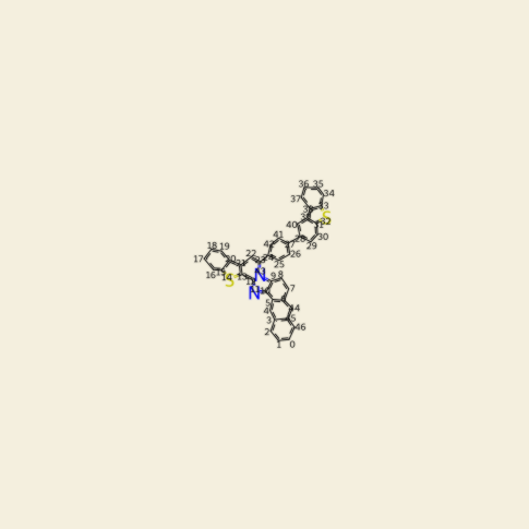 c1ccc2cc3c(ccc4c3nc3c5sc6ccccc6c5cc(-c5ccc(-c6ccc7sc8ccccc8c7c6)cc5)n43)cc2c1